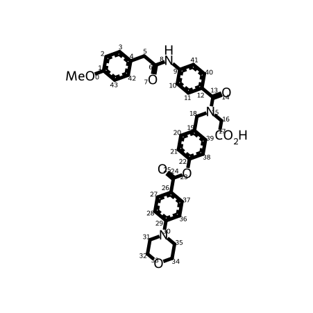 COc1ccc(CC(=O)Nc2ccc(C(=O)N(CC(=O)O)Cc3ccc(OC(=O)c4ccc(N5CCOCC5)cc4)cc3)cc2)cc1